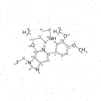 COc1ccc(-c2cc3ncn(CF)c3c(O[C@H](C)[C@@H]3CCNC3)n2)cc1OC